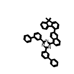 CC1(C)c2ccccc2-c2c(-c3ccc4c(-c5nc(-c6cccc(-c7ccccc7)c6)nc(-c6cccc(-c7ccccc7)c6)n5)cccc4c3)cccc21